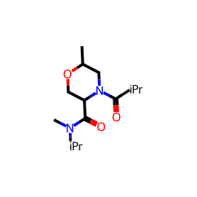 CC1CN(C(=O)C(C)C)C(C(=O)N(C)C(C)C)CO1